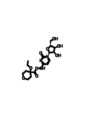 CCOC1(C(=O)ONc2ccn([C@@H]3O[C@H](CO)[C@@H](O)[C@H]3O)c(=O)n2)CCOCC1